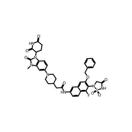 Cn1c(=O)n(C2CCC(=O)NC2=O)c2ccc(N3CCC(CC(=O)Nc4ccc5c(F)c(N6CC(=O)NS6(=O)=O)c(OCc6ccccc6)cc5c4)CC3)cc21